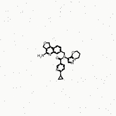 Nc1nc2cc(CN(C(=O)c3ccc(C4CC4)nc3)c3cnn4c3OCCC4)ccc2c2c1COC2